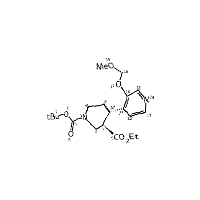 CCOC(=O)[C@H]1CN(C(=O)OC(C)(C)C)CC[C@@H]1c1ccncc1OCOC